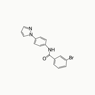 O=C(Nc1ccc(-n2cccn2)cc1)c1cccc(Br)c1